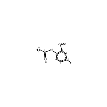 CSc1cc(C)ccc1OC(N)=O